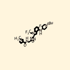 Cn1ccc(C(=O)NCc2nc(-c3cc4c(N[C@@H]5CCN(C(C)(C)C)C[C@H]5F)cccc4n3CC(F)(F)F)no2)c1